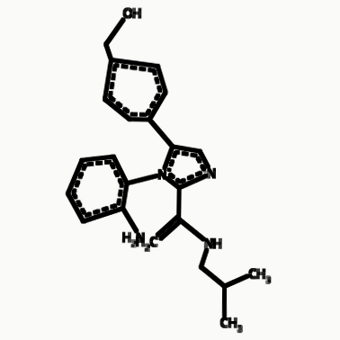 C=C(NCC(C)C)c1ncc(-c2ccc(CO)cc2)n1-c1ccccc1N